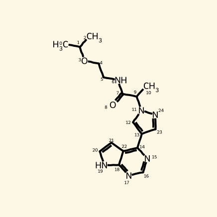 CC(C)OCCNC(=O)C(C)n1cc(-c2ncnc3[nH]ccc23)cn1